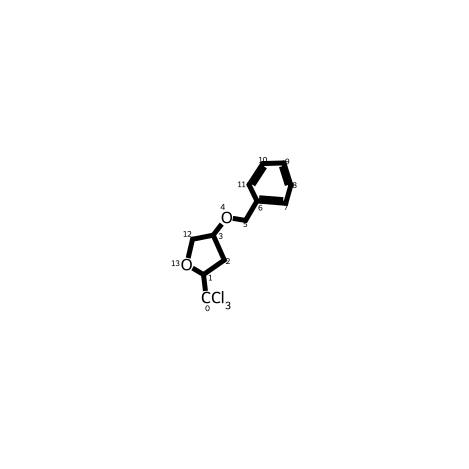 ClC(Cl)(Cl)C1CC(OCc2ccccc2)CO1